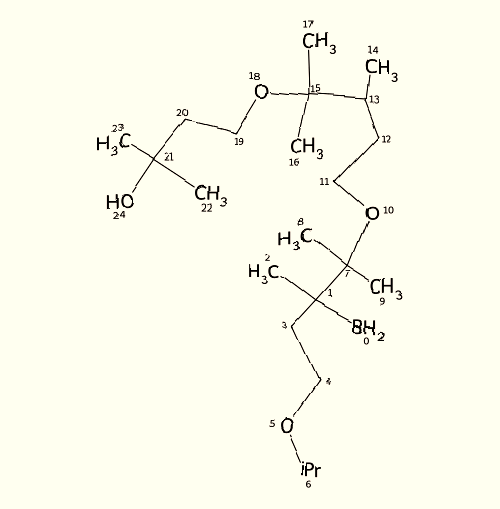 BC(C)(CCOC(C)C)C(C)(C)OCCC(C)C(C)(C)OCCC(C)(C)O